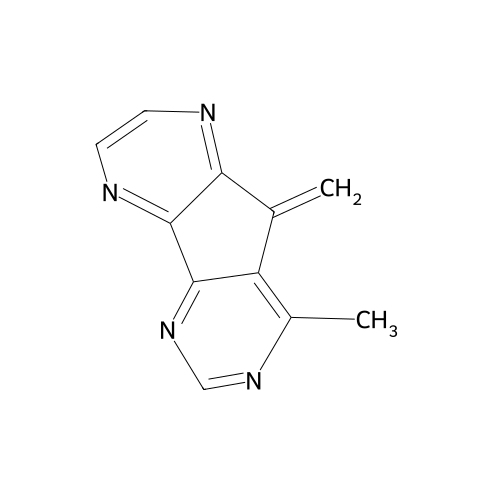 C=C1c2nccnc2-c2ncnc(C)c21